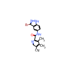 Cc1c(C#N)cnc(C(=O)Nc2ccc3[nH]nc(Br)c3c2)c1C